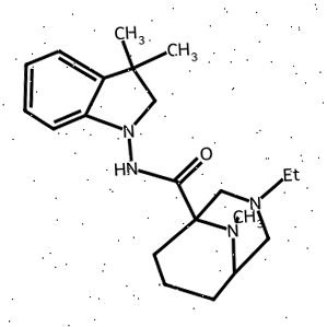 CCN1CC2C[CH]CC(C(=O)NN3CC(C)(C)c4ccccc43)(C1)N2C